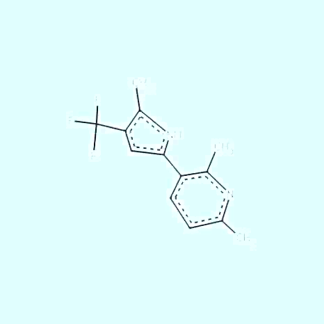 Cc1ccc(-c2cc(C(F)(F)F)c(C)[nH]2)c(C)n1